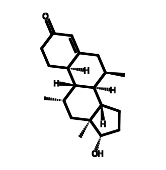 C[C@@H]1CC2=CC(=O)CC[C@@H]2[C@@H]2[C@@H]1[C@@H]1CC[C@H](O)[C@@]1(C)C[C@@H]2C